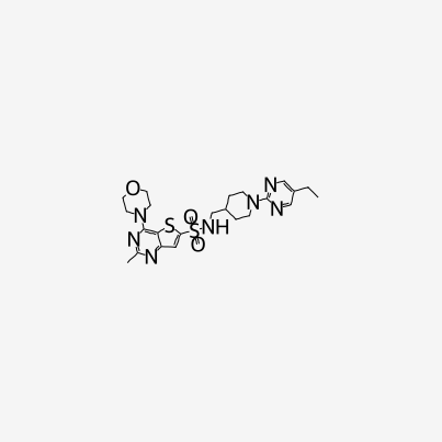 CCc1cnc(N2CCC(CNS(=O)(=O)c3cc4nc(C)nc(N5CCOCC5)c4s3)CC2)nc1